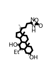 CC[C@@H]1C2C[C@H](O)CCC2(C)C2CCC3(C)C(CCC3[C@H](C)CCc3noc(=O)[nH]3)C2[C@@H]1O